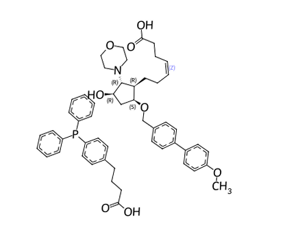 COc1ccc(-c2ccc(CO[C@H]3C[C@@H](O)[C@H](N4CCOCC4)[C@H]3CC/C=C\CCC(=O)O)cc2)cc1.O=C(O)CCCc1ccc(P(c2ccccc2)c2ccccc2)cc1